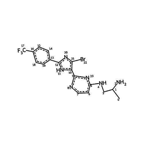 CC(N)CNc1ccnc(-c2[nH]c(-c3ccc(C(F)(F)F)cc3)nc2Br)n1